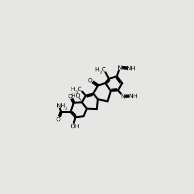 CC1=C2C(=O)c3c(C)c(N=N)cc(N=N)c3CC2CC2CC(O)=C(C(N)=O)C(=O)[C@@]12O